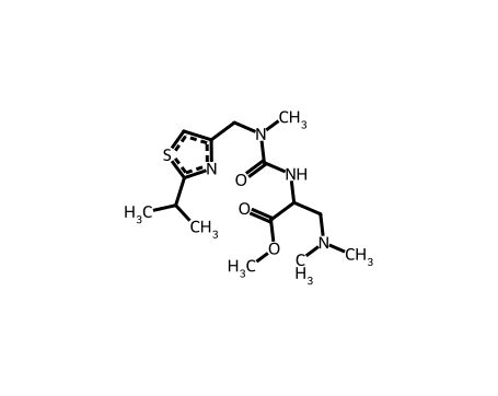 COC(=O)C(CN(C)C)NC(=O)N(C)Cc1csc(C(C)C)n1